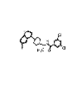 C[C@@H](NC(=O)c1cc(Cl)cc(Cl)c1)C1CCC(c2ccnc3ccc(F)cc23)CC1